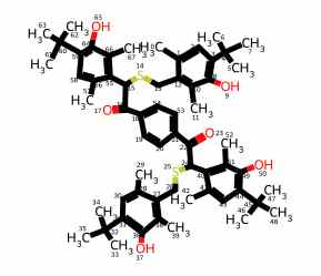 Cc1cc(C(C)(C)C)c(O)c(C)c1CSC(C(=O)c1ccc(C(=O)C(SCc2c(C)cc(C(C)(C)C)c(O)c2C)c2c(C)cc(C(C)(C)C)c(O)c2C)cc1)c1c(C)cc(C(C)(C)C)c(O)c1C